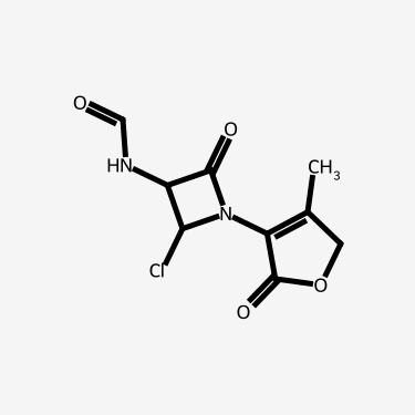 CC1=C(N2C(=O)C(NC=O)C2Cl)C(=O)OC1